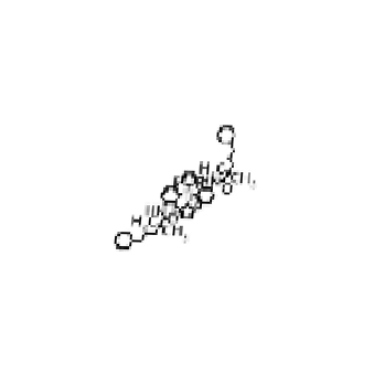 CC(C)(CCCC1CCCCC1)C(=O)Nc1ccc(F)[c]([Ti]([c]2c(F)ccc(NC(=O)C(C)(C)CCCC3CCCCC3)c2F)([CH]2C=CC=C2)[CH]2C=CC=C2)c1F